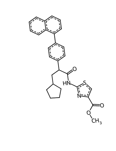 COC(=O)c1csc(NC(=O)C(CC2CCCC2)c2ccc(-c3cccc4ccccc34)cc2)n1